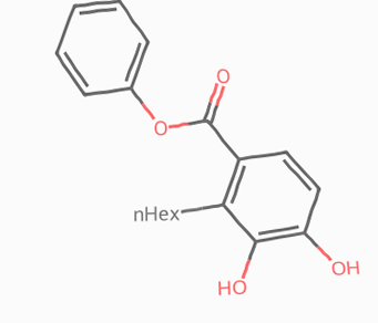 CCCCCCc1c(C(=O)Oc2ccccc2)ccc(O)c1O